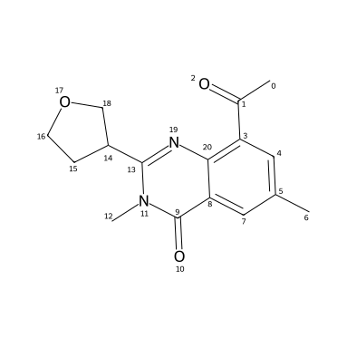 CC(=O)c1cc(C)cc2c(=O)n(C)c(C3CCOC3)nc12